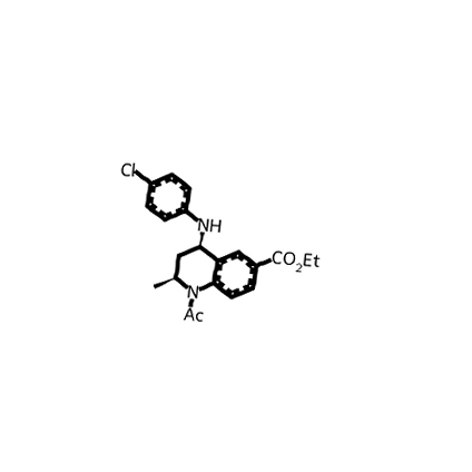 CCOC(=O)c1ccc2c(c1)[C@H](Nc1ccc(Cl)cc1)C[C@H](C)N2C(C)=O